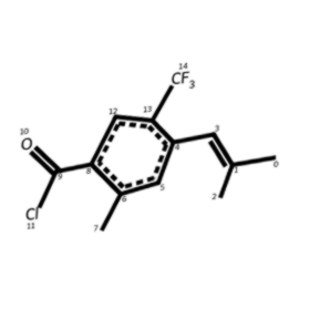 CC(C)=Cc1cc(C)c(C(=O)Cl)cc1C(F)(F)F